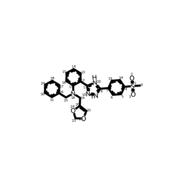 CS(=O)(=O)c1ccc(-c2nnc(-c3ccccc3N(CC3=COCO3)Cc3ccccc3)[nH]2)cc1